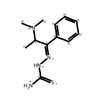 CC(C(=NNC(N)=S)c1ccccc1)N(C)C